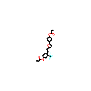 C=CC(=O)Oc1ccc(-c2ccc(/C=C/c3ccc(OC(=O)C=C)cc3C(F)(F)F)o2)cc1